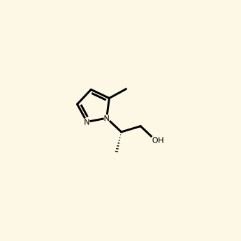 Cc1ccnn1[C@@H](C)CO